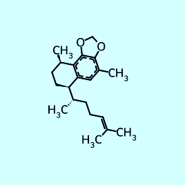 CC(C)=CCC[C@H](C)[C@H]1CC[C@@H](C)c2c1cc(C)c1c2OCO1